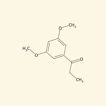 CCC(=O)c1cc(OC)cc(OC)c1